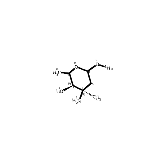 [3H]OC1C[C@@](C)(N)[C@@H](O)C(C)O1